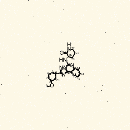 COc1cccc(-c2nc3c4ncccc4nc(N[C@H]4CCCNC4=O)n3n2)c1